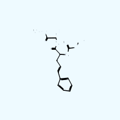 COC(=O)[C@H](C)NC(=O)C(CC=Cc1ccccc1)NC(=O)OC(C)(C)C